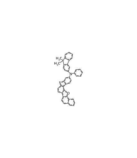 CC1(C)c2ccccc2-c2cc(N(c3ccccc3)c3ccc4c(c3)sc3ccc5c6ccc7ccccc7c6oc5c34)ccc21